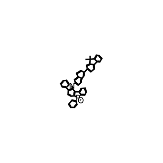 CC1(C)c2ccccc2-c2ccc(-c3ccc4cc(-n5c6ccccc6c6ccc7c(c65)-c5ccccc5P7(=O)c5ccccc5)ccc4c3)cc21